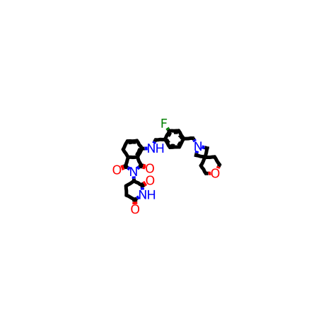 O=C1CCC(N2C(=O)C3=C(NCc4ccc(CN5CC6(CCOCC6)C5)cc4F)C=CCC3C2=O)C(=O)N1